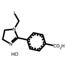 Cl.O=C(O)c1ccc(C2=NCCN2CI)cc1